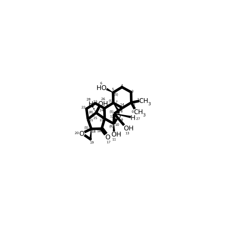 CC1(C)CC[C@H](O)[C@]23CO[C@@](O)([C@@H](O)C12)C12C(=O)[C@@]4(CO4)C(CCC13)[C@H]2O